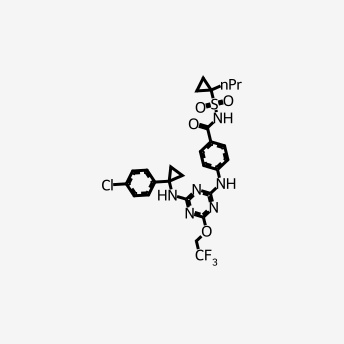 CCCC1(S(=O)(=O)NC(=O)c2ccc(Nc3nc(NC4(c5ccc(Cl)cc5)CC4)nc(OCC(F)(F)F)n3)cc2)CC1